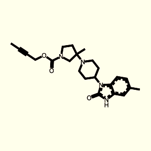 CC#CCOC(=O)N1CCC(C)(N2CCC(n3c(=O)[nH]c4cc(C)ccc43)CC2)C1